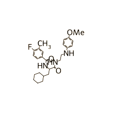 COc1ccc(NCCNC(=O)C(CC2CCCCC2)NC(=O)c2ccc(F)c(C)c2)cc1